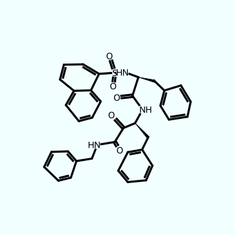 O=C(NCc1ccccc1)C(=O)[C@H](Cc1ccccc1)NC(=O)[C@H](Cc1ccccc1)NS(=O)(=O)c1cccc2ccccc12